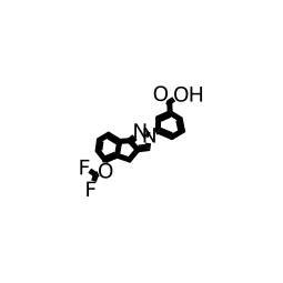 O=C(O)c1cccc(-n2cc3c(n2)-c2cccc(OC(F)F)c2C3)c1